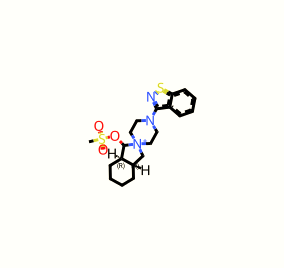 CS(=O)(=O)OC1[C@@H]2CCCC[C@H]2C[N+]12CCN(c1nsc3ccccc13)CC2